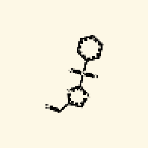 O=Cc1csc(S(=O)(=O)c2ccccc2)n1